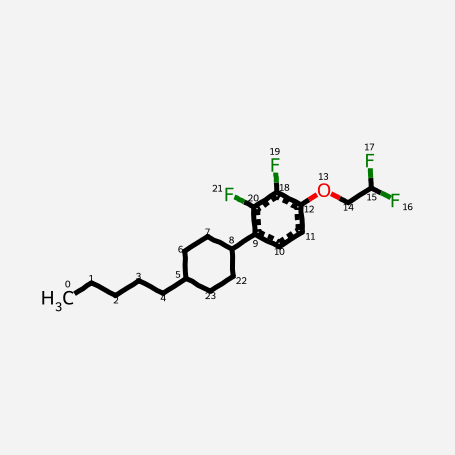 CCCCCC1CCC(c2ccc(OCC(F)F)c(F)c2F)CC1